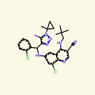 CC(C)(C)CNc1c(C#N)cnc2c(Cl)cc(NC(c3ccccc3Cl)c3nnn(C4(C)CC4)c3I)cc12